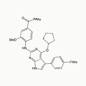 CNC(=O)c1ccc(Nc2nc(OC3CCCC3)c3c(-c4ccc(OC)cc4)c[nH]c3n2)c(OC)c1